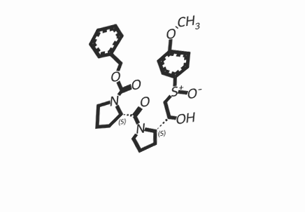 COc1ccc([S+]([O-])CC(O)[C@@H]2CCCN2C(=O)[C@@H]2CCCN2C(=O)OCc2ccccc2)cc1